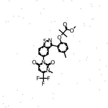 COC(=O)C(C)(C)Oc1ccc(C)cc1-c1nsc2ccc(-n3c(=O)cc(C(F)(F)F)n(C)c3=O)cc12